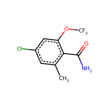 Cc1cc(Cl)cc(OC(F)(F)F)c1C(N)=O